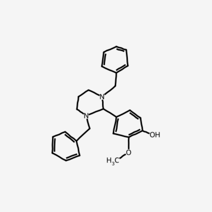 COc1cc(C2N(Cc3ccccc3)CCCN2Cc2ccccc2)ccc1O